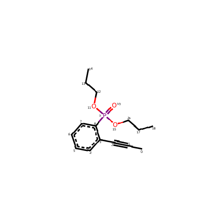 CC#Cc1ccccc1P(=O)(OCCC)OCCC